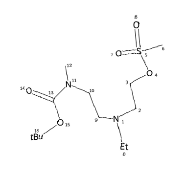 CCN(CCOS(C)(=O)=O)CCN(C)C(=O)OC(C)(C)C